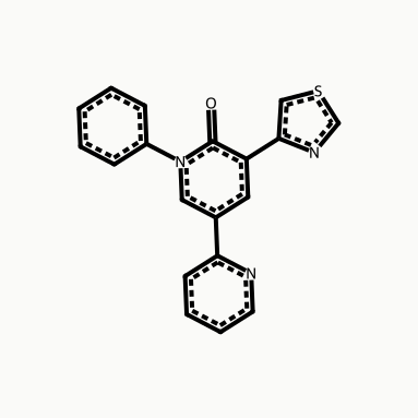 O=c1c(-c2cscn2)cc(-c2ccccn2)cn1-c1ccccc1